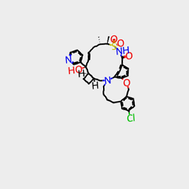 C[C@@H]1[C@@H](C)C/C=C/[C@@](O)(c2cccnc2)[C@@H]2CC[C@H]2CN2CCCCc3cc(Cl)ccc3COc3ccc(cc32)C(=O)NS1(=O)=O